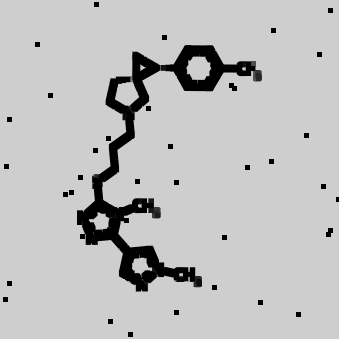 Cn1cc(-c2nnc(SCCCN3CC[C@@]4(C[C@@H]4c4ccc(C(F)(F)F)cc4)C3)n2C)cn1